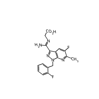 Cc1nc2c(cc1F)c(C(N)=NCC(=O)O)nn2Cc1ccccc1F